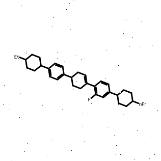 CCCC1CCC(c2ccc(C3=CCC(c4ccc(C5CCC(CC)CC5)cc4)CC3)c(F)c2)CC1